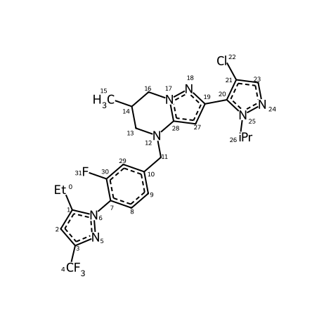 CCc1cc(C(F)(F)F)nn1-c1ccc(CN2CC(C)Cn3nc(-c4c(Cl)cnn4C(C)C)cc32)cc1F